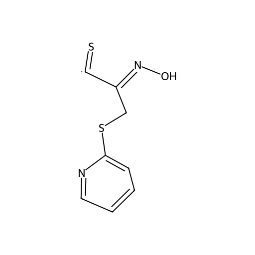 O/N=C(/[C]=S)CSc1ccccn1